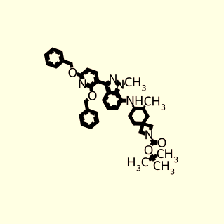 C[C@H]1CC2(CC[C@H]1Nc1cccc3c(-c4ccc(OCc5ccccc5)nc4OCc4ccccc4)nn(C)c13)CN(C(=O)OC(C)(C)C)C2